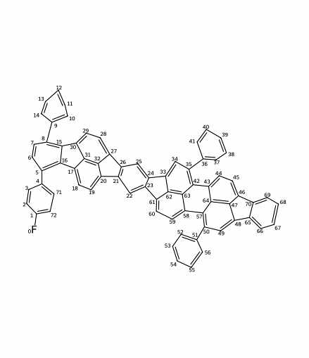 Fc1ccc(-c2ccc(-c3ccccc3)c3c2-c2ccc4c5cc6c(cc5c5ccc-3c2c45)c2cc(-c3ccccc3)c3c4ccc5c7c(cc(-c8ccccc8)c(c8ccc6c2c83)c74)-c2ccccc2-5)cc1